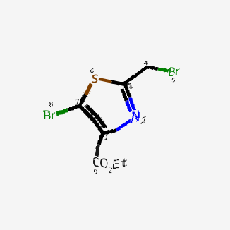 CCOC(=O)c1nc(CBr)sc1Br